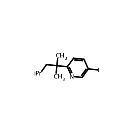 CC(C)CC(C)(C)c1ccc(I)cn1